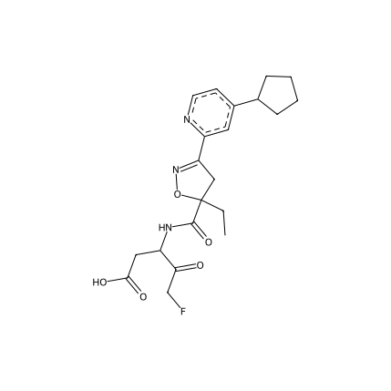 CCC1(C(=O)NC(CC(=O)O)C(=O)CF)CC(c2cc(C3CCCC3)ccn2)=NO1